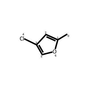 Cc1cc(Cl)co1